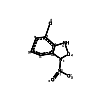 O=[N+]([O-])N1ONc2c(Cl)cccc21